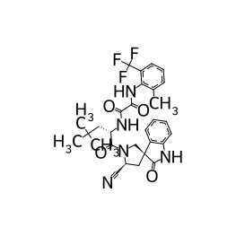 Cc1cccc(C(F)(F)F)c1NC(=O)C(=O)N[C@@H](CC(C)(C)C)C(=O)N1C[C@]2(C[C@H]1C#N)C(=O)Nc1ccccc12